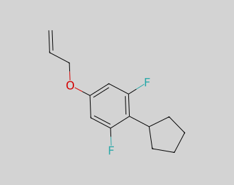 C=CCOc1cc(F)c(C2CCCC2)c(F)c1